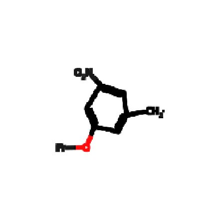 [CH2]c1cc(OC(C)C)cc([N+](=O)[O-])c1